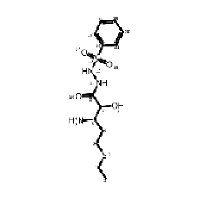 CCSCC[C@@H](N)C(O)C(=O)NNS(=O)(=O)c1ccccc1